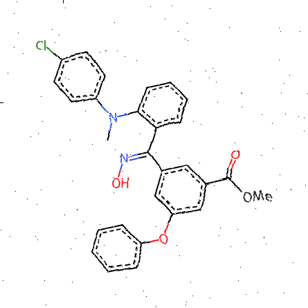 COC(=O)c1cc(Oc2ccccc2)cc(C(=NO)c2ccccc2N(C)c2ccc(Cl)cc2)c1